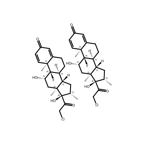 C[C@H]1C[C@H]2[C@@H]3CCC4=CC(=O)C=C[C@]4(C)[C@@]3(F)[C@@H](O)C[C@]2(C)[C@@]1(O)C(=O)CCl.C[C@H]1C[C@H]2[C@@H]3CCC4=CC(=O)C=C[C@]4(C)[C@@]3(F)[C@@H](O)C[C@]2(C)[C@@]1(O)C(=O)CCl